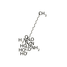 CCCCCCCCCCCCCCCC(=O)n1c(N)nc2c(nc(N)n2[C@@H]2O[C@H](CO)[C@@H](O)[C@H]2O)c1=O